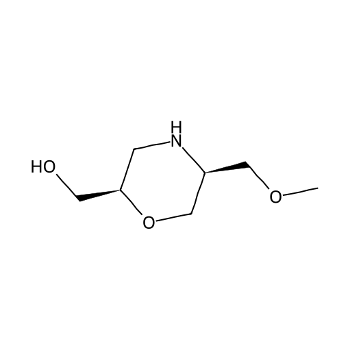 COC[C@H]1CO[C@@H](CO)CN1